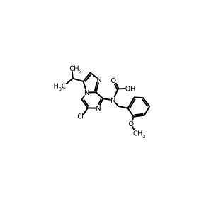 COc1ccccc1CN(C(=O)O)c1nc(Cl)cn2c(C(C)C)cnc12